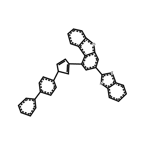 C1=CC(c2ccc(-c3ccccc3)cc2)C=C1c1cc(-c2nc3ccccc3s2)cc2oc3ccccc3c12